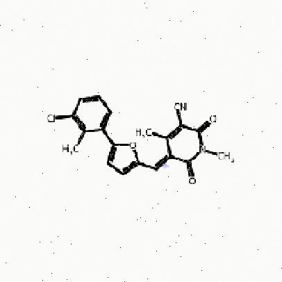 CC1=C(C#N)C(=O)N(C)C(=O)/C1=C/c1ccc(-c2cccc(Cl)c2C)o1